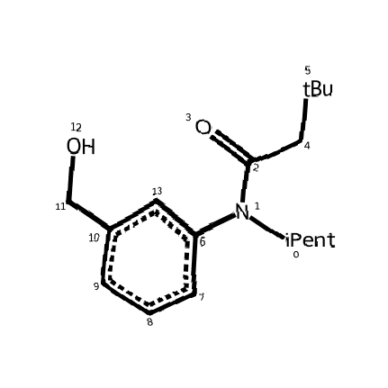 CCCC(C)N(C(=O)CC(C)(C)C)c1cccc(CO)c1